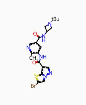 Cc1ncc(C(=O)NC2CN(C(C)(C)C)C2)cc1NC(=O)c1cnn2cc(Br)sc12